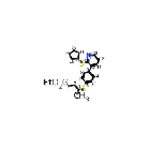 CCOC(=O)CCC(C)Sc1ccc(-c2cccnc2SC2CCCC2)cc1